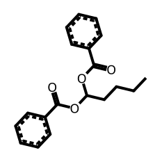 CCCCC(OC(=O)c1ccccc1)OC(=O)c1ccccc1